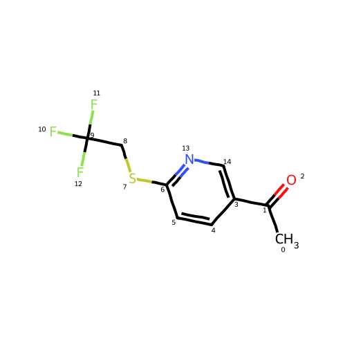 CC(=O)c1ccc(SCC(F)(F)F)nc1